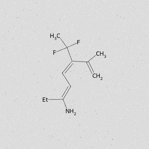 C=C(C)/C(=C\C=C(\N)CC)C(C)(F)F